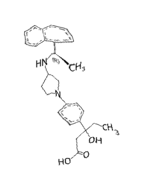 CCC(O)(CC(=O)O)c1ccc(N2CCC(N[C@H](C)c3cccc4ccccc34)C2)cc1